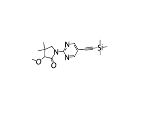 COC1C(=O)N(c2ncc(C#C[Si](C)(C)C)cn2)CC1(C)C